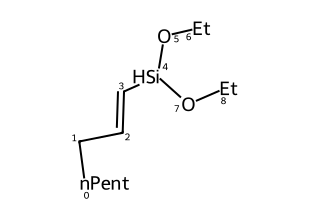 CCCCCCC=C[SiH](OCC)OCC